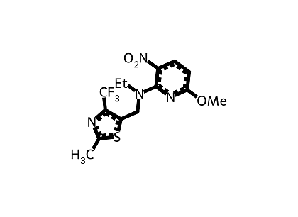 CCN(Cc1sc(C)nc1C(F)(F)F)c1nc(OC)ccc1[N+](=O)[O-]